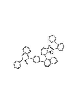 C=C1C(c2ccc(-c3ccc4ccccc4c3-c3cccc4nc(-c5ccccc5-c5ccccc5)oc34)cc2)=c2ccccc2=CC1c1ccccc1